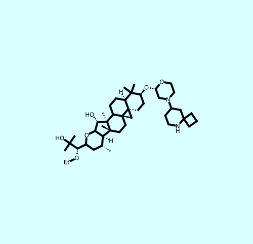 CCO[C@@H](C1C[C@@H](C)[C@H]2C(O1)[C@H](O)[C@@]1(C)C3CC[C@H]4C(C)(C)[C@@H](O[C@H]5CN(C6CCNC7(CCC7)C6)CCO5)CC[C@@]45C[C@@]35CC[C@]21C)C(C)(C)O